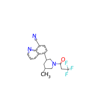 CC1CC(c2ccc(C#N)c3ncccc23)CN(C(=O)CC(F)(F)F)C1